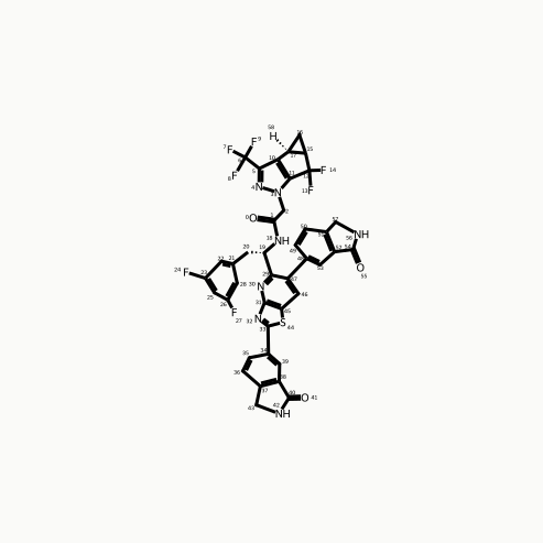 O=C(Cn1nc(C(F)(F)F)c2c1C(F)(F)C1C[C@H]21)N[C@@H](Cc1cc(F)cc(F)c1)c1nc2nc(-c3ccc4c(c3)C(=O)NC4)sc2cc1-c1ccc2c(c1)C(=O)NC2